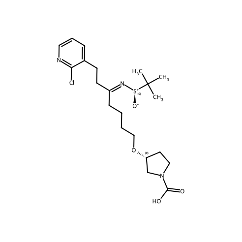 CC(C)(C)[S@@+]([O-])N=C(CCCCO[C@@H]1CCN(C(=O)O)C1)CCc1cccnc1Cl